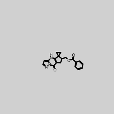 O=C(OCC1Cc2c([nH]c3ccnn3c2=O)C12CC2)c1ccccc1